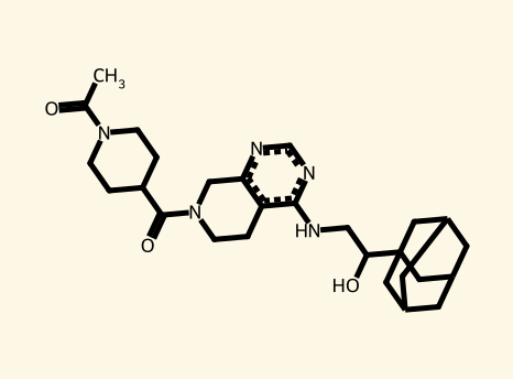 CC(=O)N1CCC(C(=O)N2CCc3c(ncnc3NCC(O)C34CC5CC(CC(C5)C3)C4)C2)CC1